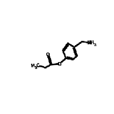 CCC(=O)Oc1ccc(CN)cc1